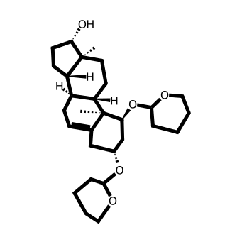 C[C@]12CC[C@H]3[C@@H](CC=C4C[C@@H](OC5CCCCO5)C[C@H](OC5CCCCO5)[C@@]43C)[C@@H]1CC[C@@H]2O